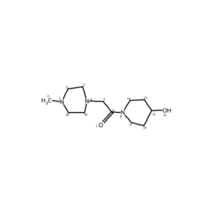 CN1CCN(CC(=O)N2CCC(O)CC2)CC1